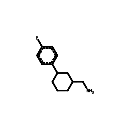 NCC1CCCC(c2ccc(F)cc2)C1